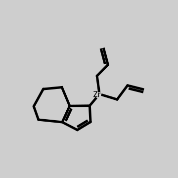 C=C[CH2][Zr]([CH2]C=C)[CH]1C=CC2=C1CCCC2